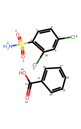 NS(=O)(=O)c1ccc(Cl)cc1Cl.O=C(O)c1ccccc1